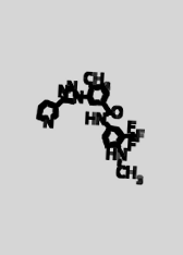 CCNc1ccc(NC(=O)c2ccc(C)c(-n3cc(-c4cccnc4)nn3)c2)cc1C(F)(F)F